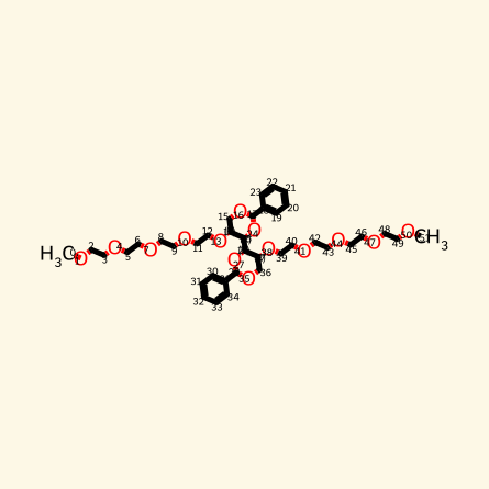 COCCOCCOCCOCCO[C@@H]1COC(c2ccccc2)O[C@H]1[C@@H]1OC(c2ccccc2)OC[C@H]1OCCOCCOCCOCCOC